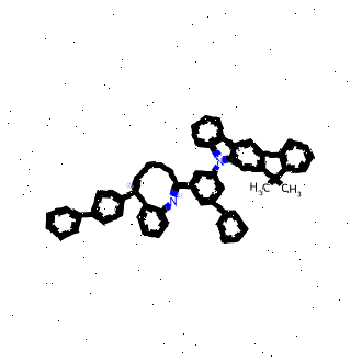 CC1(C)c2ccccc2-c2cc3c4ccccc4n(-c4cc(/C5=N/c6ccccc6/C(c6ccc(-c7ccccc7)cc6)=C\CCC5)cc(-c5ccccc5)c4)c3cc21